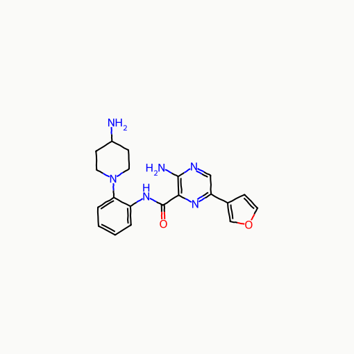 Nc1ncc(-c2ccoc2)nc1C(=O)Nc1ccccc1N1CCC(N)CC1